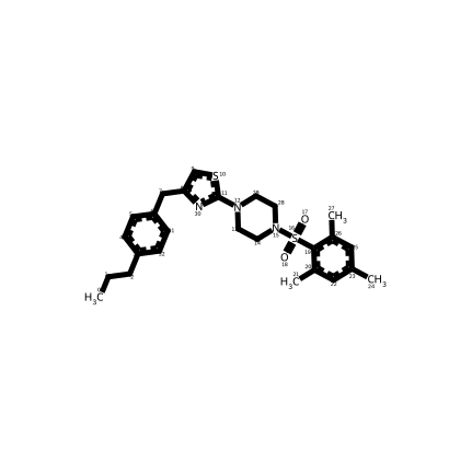 CCCc1ccc(Cc2csc(N3CCN(S(=O)(=O)c4c(C)cc(C)cc4C)CC3)n2)cc1